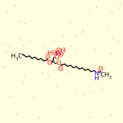 CCCCCCCCCC(=O)O[C@H](COC(=O)CCCCCCCCCCCNC(C)=O)COP(=O)(O)O